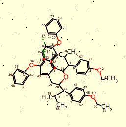 CCOc1ccc(C(C(C)C)C(Cc2ccc(F)c(Oc3ccccc3)c2)OC(Cc2ccc(F)c(Oc3ccccc3)c2)C(c2ccc(OCC)cc2)C(C)C)cc1